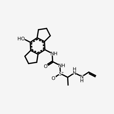 C=CNNC(C)[S+]([O-])NC(=O)Nc1c2c(c(O)c3c1CCC3)CCC2